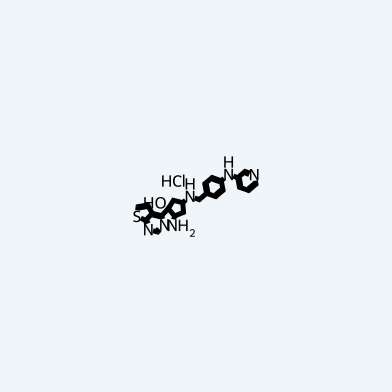 Cl.NC1CC(NCc2ccc(Nc3cccnc3)cc2)CC1(O)c1ncnc2sccc12